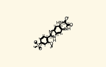 COc1cc(S(C)(=O)=O)ccc1-c1nc2cc3[nH]c(=O)c(=O)[nH]c3cc2[nH]1